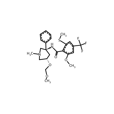 COCO[C@@H]1CN(C)C[C@](NC(=O)c2c(OC)cc(C(F)(F)F)cc2SC)(c2ccccc2)C1